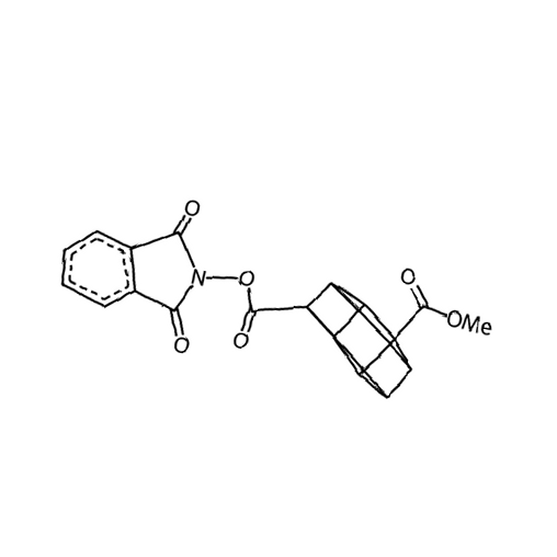 COC(=O)C12C3C4C1C1C2C3C41C(=O)ON1C(=O)c2ccccc2C1=O